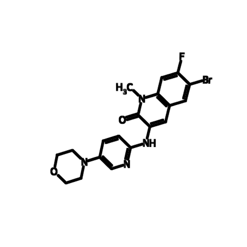 Cn1c(=O)c(Nc2ccc(N3CCOCC3)cn2)cc2cc(Br)c(F)cc21